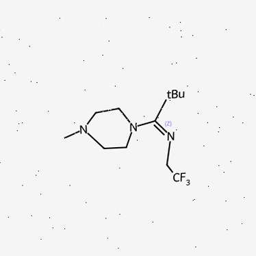 CN1CCN(/C(=N\CC(F)(F)F)C(C)(C)C)CC1